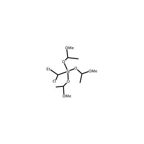 CCC(Cl)[Si](OC(C)OC)(OC(C)OC)OC(C)OC